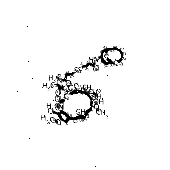 COc1cc2cc(c1Cl)N(C)C(=O)C[C@H](OC(=O)[C@H](C)N(C)C(=O)CCSSCCCC(=O)NC1CCC3CCCCCCC(CCC3)CC1)[C@]1(C)O[C@H]1[C@H](C)[C@@H]1C[C@@](O)(NC(=O)O1)[C@H](OC)/C=C/C=C(\C)C2